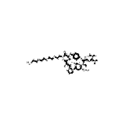 CC[C@H](C)[C@@H]([C@@H](CC(=O)N1CCC[C@H]1[C@H](OC)[C@@H](C)C(=O)N[C@@H](Cc1ccccc1)C(=O)NCCOCCOCCOCCN)OC)N(C)C(=O)[C@@H](N=C(N(C)C)N(C)C)C(C)C